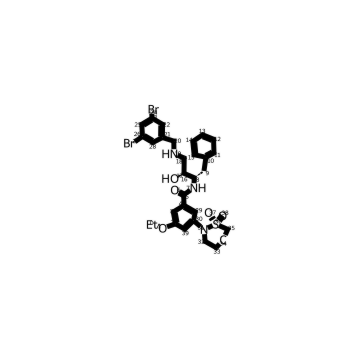 CCOc1cc(C(=O)N[C@@H](Cc2ccccc2)[C@H](O)CNCc2cc(Br)cc(Br)c2)cc(N2CCCCS2(=O)=O)c1